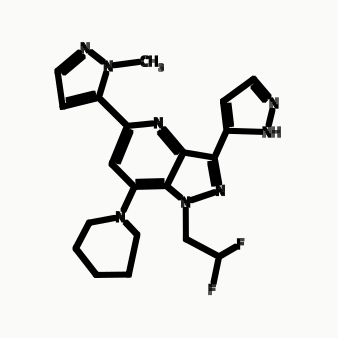 Cn1nccc1-c1cc(N2CCCCC2)c2c(n1)c(-c1ccn[nH]1)nn2CC(F)F